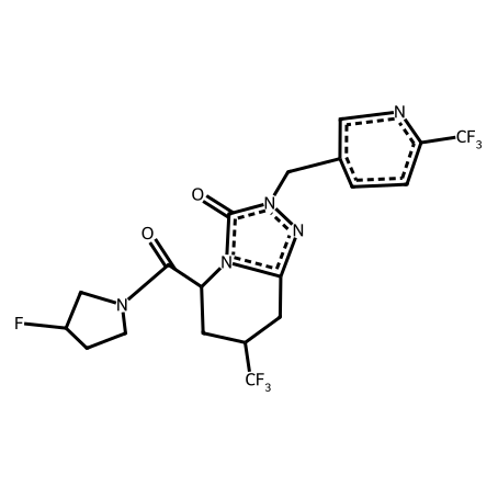 O=C(C1CC(C(F)(F)F)Cc2nn(Cc3ccc(C(F)(F)F)nc3)c(=O)n21)N1CCC(F)C1